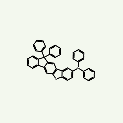 c1ccc(N(c2ccccc2)c2ccc3sc4cc5c(cc4c3c2)C(c2ccccc2)(c2ccccc2)c2ccccc2-5)cc1